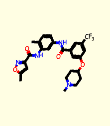 Cc1cc(C(=O)Nc2cc(NC(=O)c3cc(OC4CCN(C)CC4)cc(C(F)(F)F)c3)ccc2C)no1